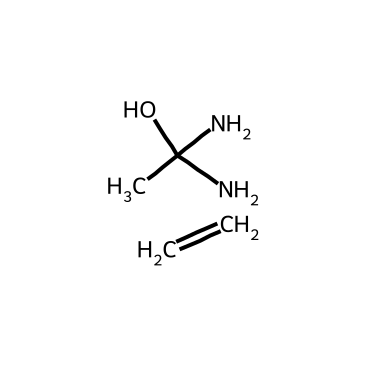 C=C.CC(N)(N)O